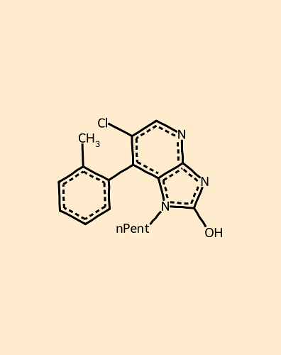 CCCCCn1c(O)nc2ncc(Cl)c(-c3ccccc3C)c21